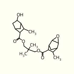 CC1C2CC(CC2O)C1C(=O)OCC(C)(C)COC(=O)C1C(C)C2CC1C1OC21